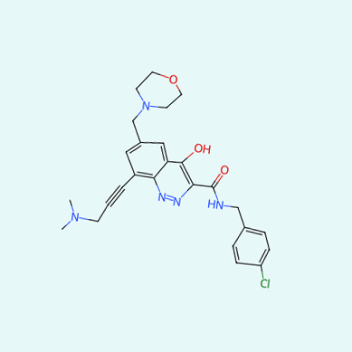 CN(C)CC#Cc1cc(CN2CCOCC2)cc2c(O)c(C(=O)NCc3ccc(Cl)cc3)nnc12